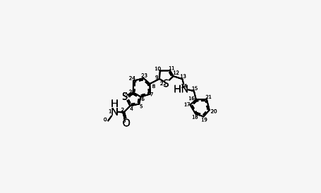 CNC(=O)c1cc2cc(C3CC=C(CNCc4ccccc4)S3)ccc2s1